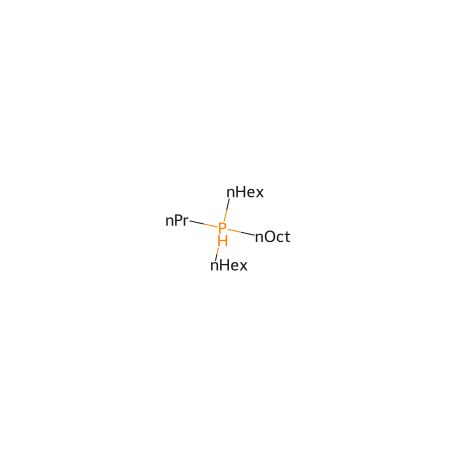 CCCCCCCC[PH](CCC)(CCCCCC)CCCCCC